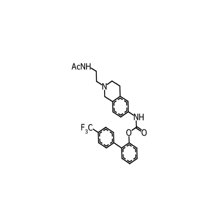 CC(=O)NCCN1CCc2cc(NC(=O)Oc3ccccc3-c3ccc(C(F)(F)F)cc3)ccc2C1